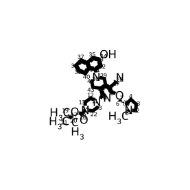 CN1CCC[C@H]1COc1nc(N2CCN(C(=O)OC(C)(C)C)CC2)c2c(c1C#N)CN(c1cc(O)cc3ccccc13)CC2